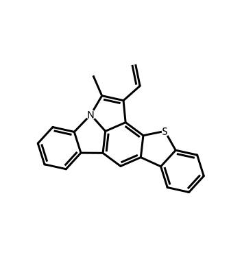 C=Cc1c(C)n2c3ccccc3c3cc4c5ccccc5sc4c1c32